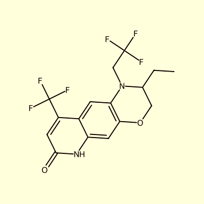 CCC1COc2cc3[nH]c(=O)cc(C(F)(F)F)c3cc2N1CC(F)(F)F